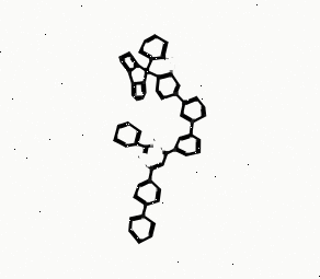 c1ccc(-c2ccc(-c3cc(-c4cccc(-c5cccc(-c6ccc7c(c6)Sc6ccccc6C76c7ccccc7-c7ccccc76)c5)c4)nc(-c4ccccc4)n3)cc2)cc1